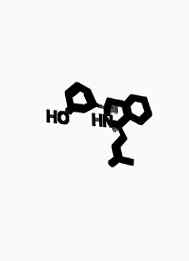 CC(C)=CC[C@H]1N[C@H](c2cccc(O)c2)CC2=C1CCCC2